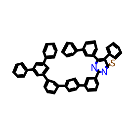 c1ccc(-c2cc(-c3ccccc3)cc(-c3cccc(-c4ccc(-c5cccc(-c6nc(-c7cccc(-c8ccccc8)c7)c7c(n6)sc6ccccc67)c5)cc4)c3)c2)cc1